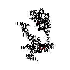 C=C(N)NCCC[C@H](NC(=O)[C@H](CC(=O)O)NC(=O)CC[C@H](NC(=O)c1ccc(NCc2cnc3nc(N)[nH]c(=O)c3n2)cc1)C(=O)O)C(=O)N[C@@H](CC(=O)O)C(=O)N[C@@H](CC(=O)O)C(=O)N[C@@H](CSSCCOC(=O)O[C@H]1C[C@H]2OC[C@@]2(OC(C)=O)C2[C@H](OC(=O)c3ccccc3)[C@]3(O)C[C@H](OC(=O)[C@H](O)[C@@H](NC(=O)c4ccccc4)c4ccccc4)C(C)=C([C@@H](O)C(=O)[C@@]21C)C3(C)C)C(=O)O